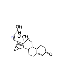 C[C@]12CCC3C4CCC(=O)C=C4CCC3C1C1CC1[C@@]2(O)/C=C\CO